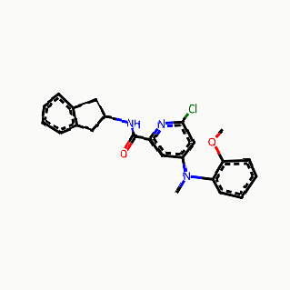 COc1ccccc1N(C)c1cc(Cl)nc(C(=O)NC2Cc3ccccc3C2)c1